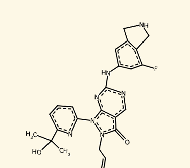 C=CCn1c(=O)c2cnc(Nc3cc(F)c4c(c3)CNC4)nc2n1-c1cccc(C(C)(C)O)n1